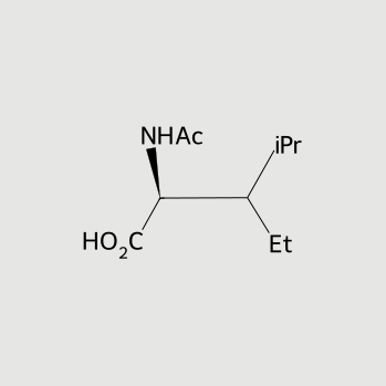 CCC(C(C)C)[C@H](NC(C)=O)C(=O)O